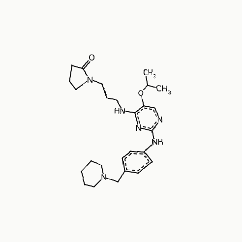 CC(C)Oc1cnc(Nc2ccc(CN3CCCCC3)cc2)nc1NCCCN1CCCC1=O